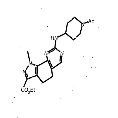 CCOC(=O)c1nn(C)c2c1CCc1cnc(NC3CCN(C(C)=O)CC3)nc1-2